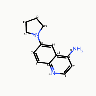 Nc1ccnc2ccc(N3CCCC3)cc12